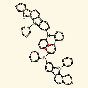 c1ccc(N(c2ccc(-c3ccccc3N(c3ccccc3)c3ccc4c5ccc6c7ccccc7sc6c5n(-c5ccccc5)c4c3)cc2)c2ccc3c4ccc5ccccc5c4n(-c4ccccc4)c3c2)cc1